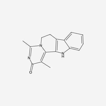 Cc1c2n(c(C)nc1=O)CCc1c-2[nH]c2ccccc12